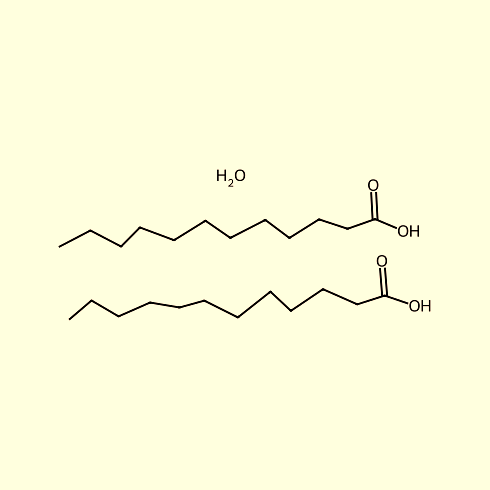 CCCCCCCCCCCC(=O)O.CCCCCCCCCCCC(=O)O.O